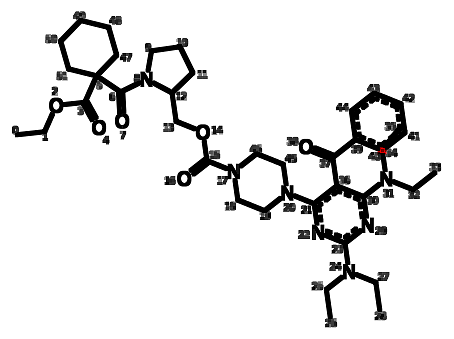 CCOC(=O)C1(C(=O)N2CCCC2COC(=O)N2CCN(c3nc(N(CC)CC)nc(N(CC)CC)c3C(=O)c3ccccc3)CC2)CCCCC1